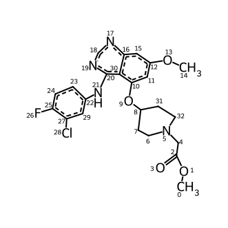 COC(=O)CN1CCC(Oc2cc(OC)cc3ncnc(Nc4ccc(F)c(Cl)c4)c23)CC1